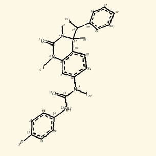 CN1C(=O)N(I)c2cc(N(I)C(=O)Nc3ccc(F)cc3)ccc2C1(C)C(I)c1ccccc1